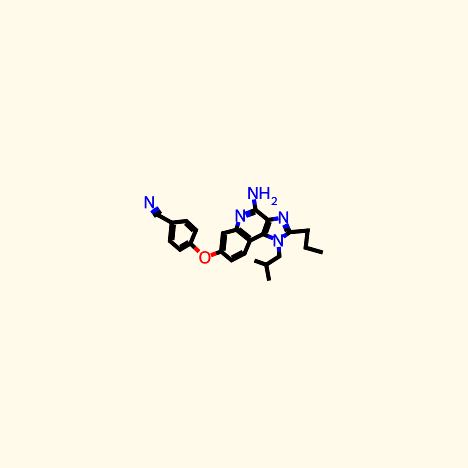 CCCc1nc2c(N)nc3cc(Oc4ccc(C#N)cc4)ccc3c2n1CC(C)C